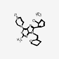 CCN1CCN(c2nc(C)nc3c2nc(-c2ccccc2Cl)n3CC2CCCO2)CC1.Cl